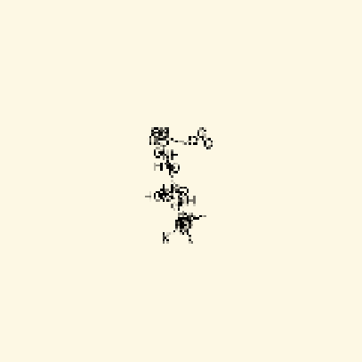 CCCC1=CC(CCC(=O)NC(CSOOO)C(=O)NCCCCC(=O)NCCNC(=O)c2cc(CCCCc3ccc(C(=O)c4ccccc4)cc3)c(OC)c3c2COB3O)=[N+]2C1=Cc1c(CCC)cc(CCC[N+](C)(C)C)n1[B-]2(F)F